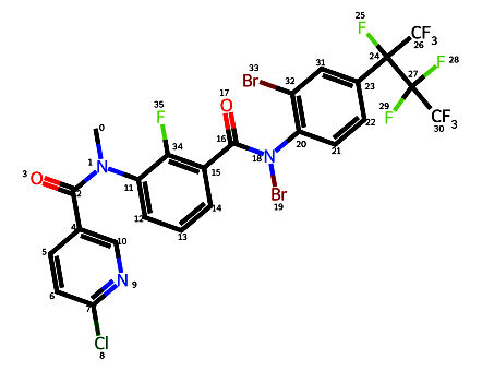 CN(C(=O)c1ccc(Cl)nc1)c1cccc(C(=O)N(Br)c2ccc(C(F)(C(F)(F)F)C(F)(F)C(F)(F)F)cc2Br)c1F